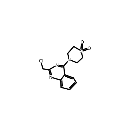 O=S1(=O)CCN(c2nc(CCl)nc3ccccc23)CC1